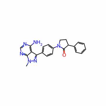 Cn1nc(-c2ccc(N3CCC(c4ccccc4)C3=O)cc2)c2c(N)ncnc21